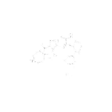 COc1cccc(-c2cccc3c2C(=Cc2[nH]cc(C(=O)[N+]4(C)CCNCC4)c2C)C(=O)N3)c1